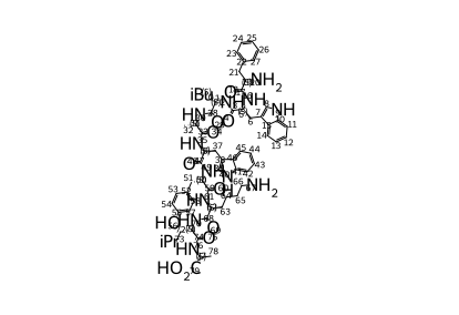 CC[C@H](C)[C@H](NC(=O)[C@H](Cc1c[nH]c2ccccc12)NC(=O)[C@@H](N)Cc1ccccc1)C(=O)N[C@@H](C)C(=O)N[C@@H](Cc1c[nH]c2ccccc12)C(=O)N[C@@H](Cc1ccc(O)cc1)C(=O)N[C@@H](CCCCN)C(=O)N[C@@H](CC(C)C)C(=O)N[C@@H](C)C(=O)O